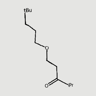 CC(C)C(=O)CCOCCCC(C)(C)C